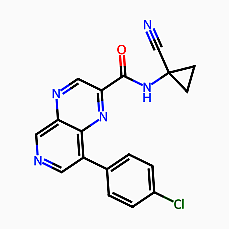 N#CC1(NC(=O)c2cnc3cncc(-c4ccc(Cl)cc4)c3n2)CC1